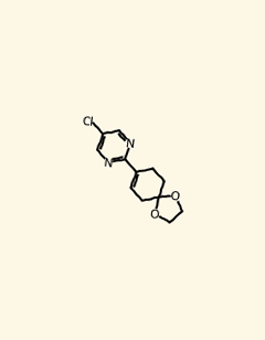 Clc1cnc(C2=CCC3(CC2)OCCO3)nc1